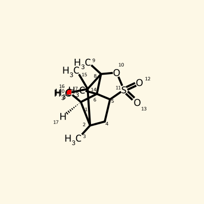 C[C@@H]1C2(C)CC3C1(C)C(C)(OS3(=O)=O)C2(C)C